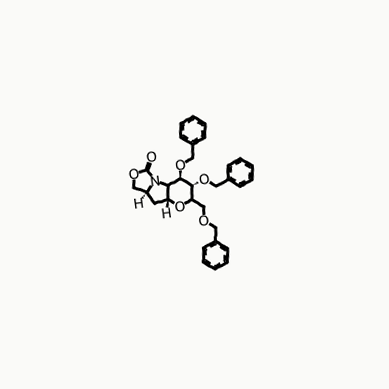 O=C1OC[C@@H]2C[C@H]3OC(COCc4ccccc4)[C@@H](OCc4ccccc4)[C@H](OCc4ccccc4)C3N12